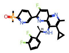 Cc1nc2cc(F)c(-c3ccc(P(C)(C)=O)nc3)nc2c(N[C@H](C)c2cccc(F)c2F)c1C1CC1